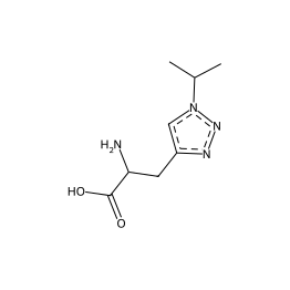 CC(C)n1cc(CC(N)C(=O)O)nn1